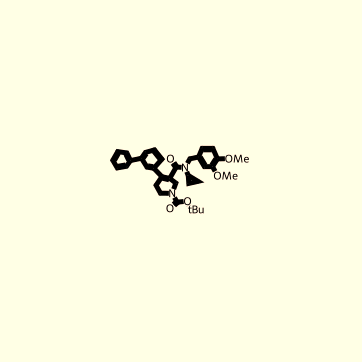 COc1ccc(CN(C(=O)C2=C(c3cccc(-c4ccccc4)c3)CCN(C(=O)OC(C)(C)C)C2)C2CC2)cc1OC